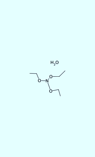 CCON(OCC)OCC.O